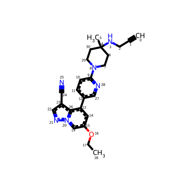 C#CCNC1(C)CCN(c2ccc(-c3cc(OCC)cn4ncc(C#N)c34)cn2)CC1